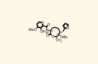 COc1ccnc(C(=O)N[C@H]2CCC[C@H](Cc3ccco3)[C@@H](OCC(C)C)[C@H](C)OC2=O)c1O